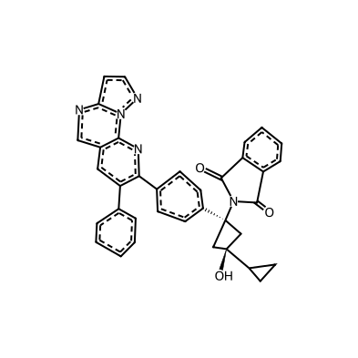 O=C1c2ccccc2C(=O)N1[C@]1(c2ccc(-c3nc4c(cnc5ccnn54)cc3-c3ccccc3)cc2)C[C@@](O)(C2CC2)C1